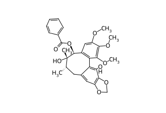 COc1cc2c(c(OC)c1OC)-c1c(cc3c(c1O)OCO3)C[C@H](C)[C@](C)(O)[C@H]2OC(=O)c1ccccc1